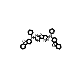 c1ccc(N(c2ccc3c(c2)oc2ccccc23)c2cc3sc4nc(N(c5ccccc5)c5ccc6c(c5)oc5ccccc56)cnc4c3nn2)cc1